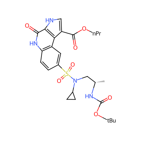 CCCOC(=O)c1c[nH]c2c(=O)[nH]c3ccc(S(=O)(=O)N(C[C@H](C)NC(=O)OC(C)(C)C)C4CC4)cc3c12